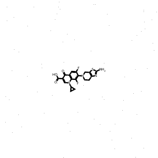 Nc1nc2c(s1)CN(c1c(F)cc3c(=O)c(C(=O)O)cn(C4CC4)c3c1F)CC2